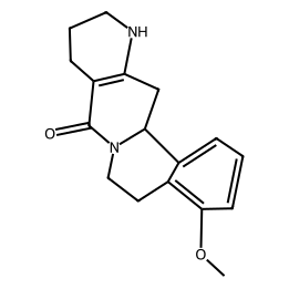 COc1cccc2c1CCN1C(=O)C3=C(CC21)NCCC3